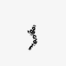 COCCCOc1ccc(CN2CCC(Nc3nnc(-c4ccc(OC)cc4)c4ccc(OC)cc34)CC2)cc1